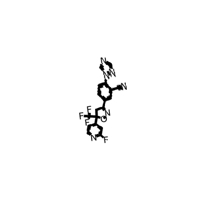 N#Cc1cc(C2=NOC(c3ccnc(F)c3)(C(F)(F)F)C2)ccc1-n1cncn1